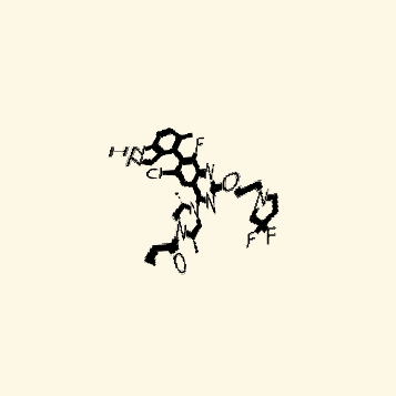 C=CC(=O)N1C[C@H](C)N(c2nc(OCCN3CCC(F)(F)C3)nc3c(F)c(-c4c(C)ccc5[nH]ncc45)c(Cl)cc23)C[C@H]1C